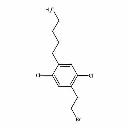 CCCCCc1cc(Cl)c(CCBr)cc1Cl